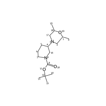 CC1CN(C2CCCN(C(=O)OC(C)(C)C)C2)CC(C)O1